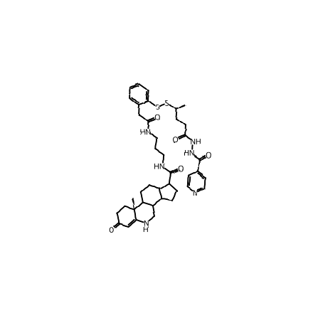 CC(CCC(=O)NNC(=O)c1ccncc1)SSc1ccccc1CC(=O)NCCCNC(=O)C1CCC2C1CCC1C2CNC2=CC(=O)CC[C@@]21C